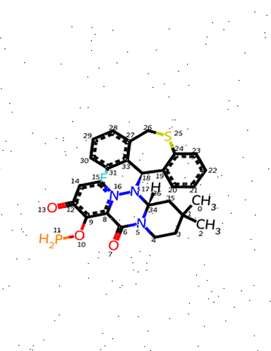 CC1(C)CCN2C(=O)c3c(OP)c(=O)ccn3N([C@@H]3c4ccccc4SCc4cccc(F)c43)[C@@H]2C1